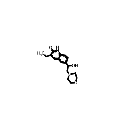 CCc1cc2cc(C(O)CN3CCOCC3)ccc2[nH]c1=O